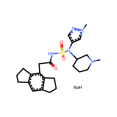 CN1CCCC(N(c2cnn(C)c2)S(=O)(=O)NC(=O)Cc2c3c(cc4c2CCC4)CCC3)C1.[NaH]